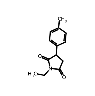 CCN1C(=O)CC(c2ccc(C)cc2)C1=O